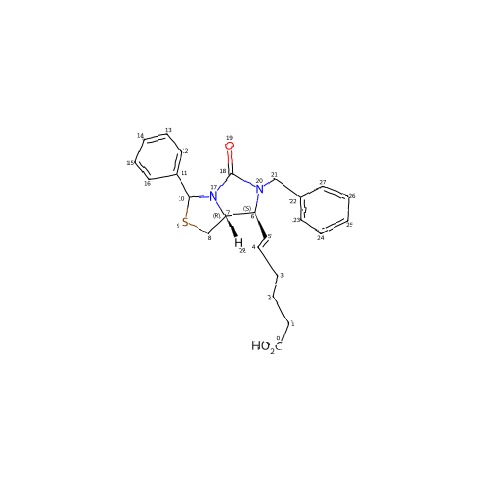 O=C(O)CCCC=C[C@H]1[C@@H]2CSC(c3ccccc3)N2C(=O)N1Cc1ccccc1